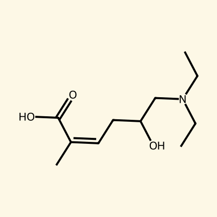 CCN(CC)CC(O)CC=C(C)C(=O)O